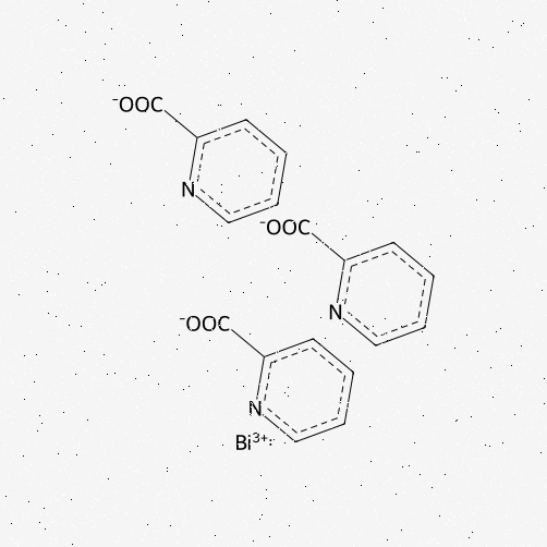 O=C([O-])c1ccccn1.O=C([O-])c1ccccn1.O=C([O-])c1ccccn1.[Bi+3]